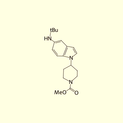 COC(=O)N1CCC(n2ccc3cc(NC(C)(C)C)ccc32)CC1